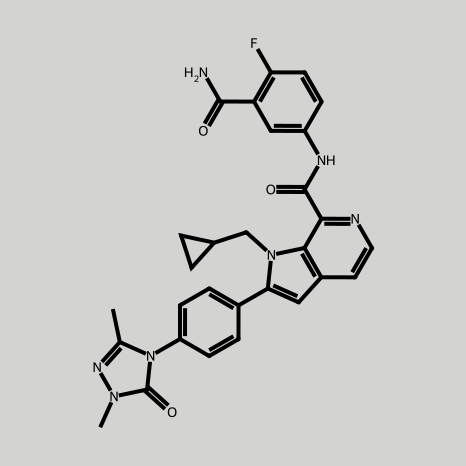 Cc1nn(C)c(=O)n1-c1ccc(-c2cc3ccnc(C(=O)Nc4ccc(F)c(C(N)=O)c4)c3n2CC2CC2)cc1